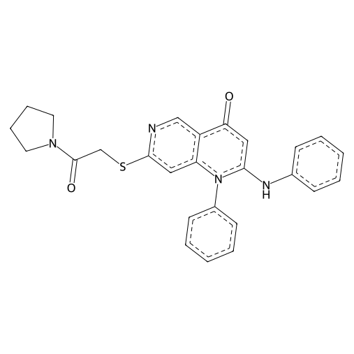 O=C(CSc1cc2c(cn1)c(=O)cc(Nc1ccccc1)n2-c1ccccc1)N1CCCC1